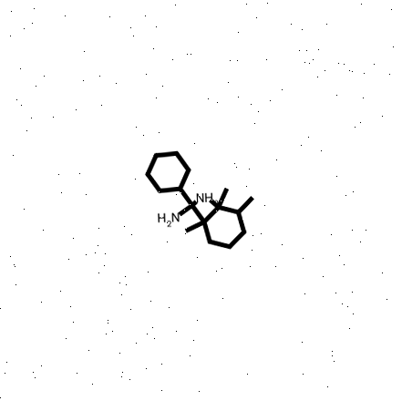 CC1CCCC(C)(C(N)(N)C2CCCCC2)C1(C)C